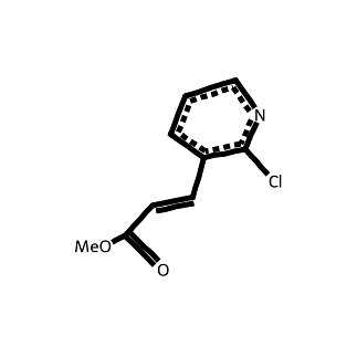 COC(=O)C=Cc1cccnc1Cl